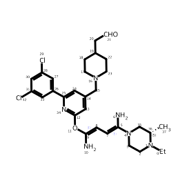 CCN1CCN(/C(N)=C/C=C(\N)Oc2cc(CN3CCC(CC=O)CC3)cc(-c3cc(Cl)cc(Cl)c3)n2)C[C@@H]1C